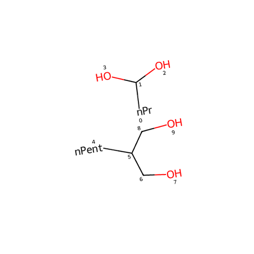 CCCC(O)O.CCCCCC(CO)CO